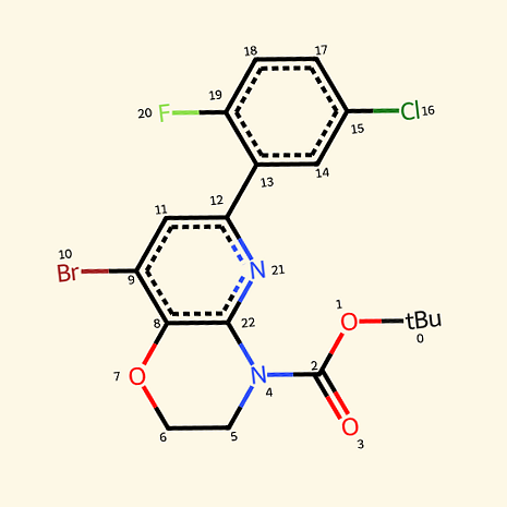 CC(C)(C)OC(=O)N1CCOc2c(Br)cc(-c3cc(Cl)ccc3F)nc21